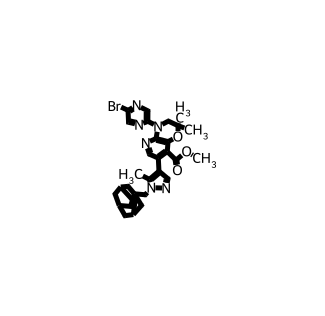 COC(=O)c1c(-c2cnn(CC34CC5CC(CC(C5)C3)C4)c2C)cnc2c1OC(C)(C)CN2c1cnc(Br)cn1